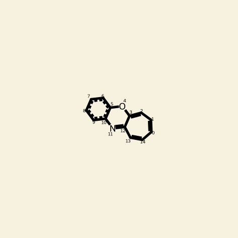 C1=CC=C2Oc3ccccc3N=C2C=C1